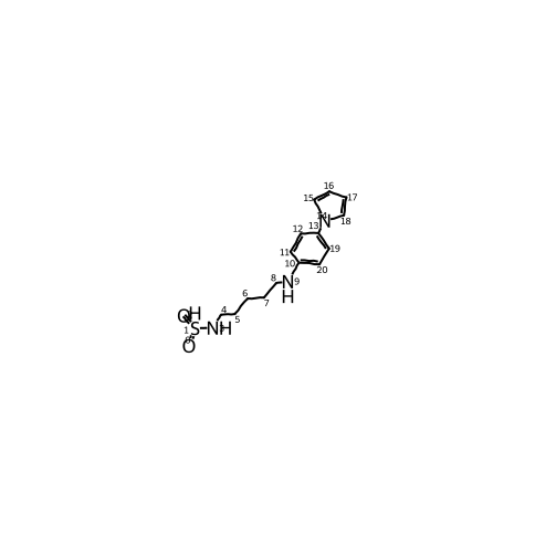 O=[SH](=O)NCCCCCNc1ccc(-n2cccc2)cc1